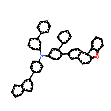 c1ccc(-c2cccc(N(c3ccc(-c4ccc5ccccc5c4)cc3)c3ccc(-c4ccc5c(ccc6oc7ccccc7c65)c4)c(-c4ccccc4)c3)c2)cc1